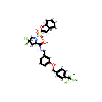 O=C(NCc1cccc(OCc2ccc(C(F)(F)F)cc2)c1)C1CC(F)(F)CN1S(=O)(=O)c1cc2ccccc2o1